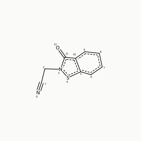 N#CCn1sc2ccccc2c1=O